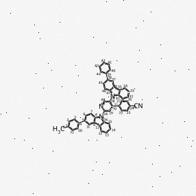 Cc1ccc(-c2ccc3c(c2)c2ccccc2n3-c2cc(-c3ccc(C#N)cc3)c(-n3c4ccccc4c4cc(-c5ccccc5)ccc43)cn2)cc1